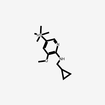 COc1cc([SH](C)(C)(C)C)cnc1NCC1CC1